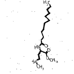 CCCCCCCCCCCC(=O)NC(CC[Se]C)C(=O)OC